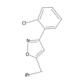 CC(C)[CH]c1cc(-c2ccccc2Cl)no1